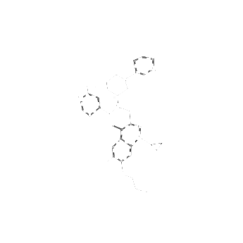 Cc1cc(CN(Cc2cn(C3CC3)c3cc(OCCO)c(F)cc3c2=O)[C@H]2CCCN(c3ccc(Cl)nc3)C2)ccn1